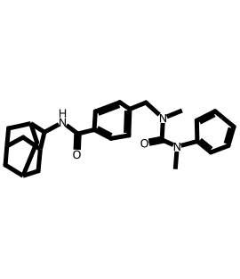 CN(Cc1ccc(C(=O)NC2C3CC4CC(C3)CC2C4)cc1)C(=O)N(C)c1ccccc1